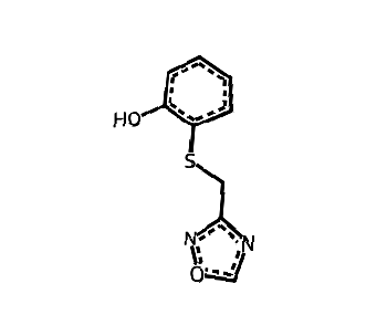 Oc1ccccc1SCc1ncon1